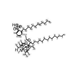 CCCCCCCCCCCCCCC(OCC)C(OCC)(OCC)C(OCC)(OCC)C(N)(OCC)OCC.CCCCCCCCCCCCc1ccccc1S(=O)(=O)O